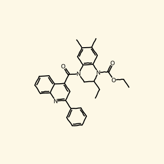 CCOC(=O)N1c2cc(C)c(C)cc2N(C(=O)c2cc(-c3ccccc3)nc3ccccc23)CC1CC